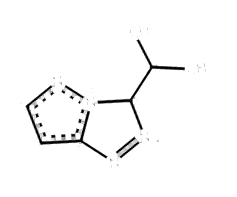 CC(C)C1N=Nc2ccnn21